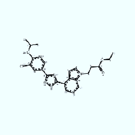 CCOC(=O)CCn1ccc2c(-c3noc(-c4cnc(OC(C)C)c(Cl)c4)n3)cncc21